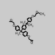 CC1OC1COc1ccc(C(C)(C)c2ccc(C(C)(c3ccc(OCC4CO4)cc3)c3ccc(OCC4CO4)cc3)cc2)cc1